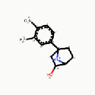 O=[N+]([O-])c1ccc(C23CCC(N2)C(O)C3)cc1C(F)(F)F